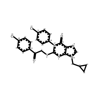 O=C(CSc1nc2c(ncn2CC2CC2)c(=O)n1-c1ccc(Cl)cc1)c1ccc(Cl)cc1